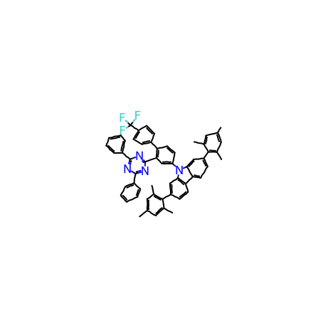 Cc1cc(C)c(-c2ccc3c4ccc(-c5c(C)cc(C)cc5C)cc4n(-c4ccc(-c5ccc(C(F)(F)F)cc5)c(-c5nc(-c6ccccc6)nc(-c6ccccc6)n5)c4)c3c2)c(C)c1